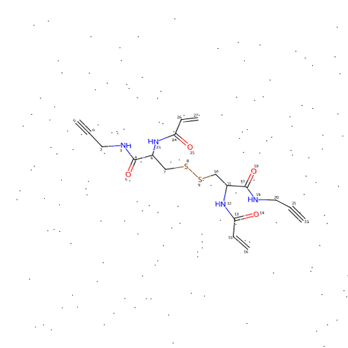 C#CCNC(=O)C(CSSCC(NC(=O)C=C)C(=O)NCC#C)NC(=O)C=C